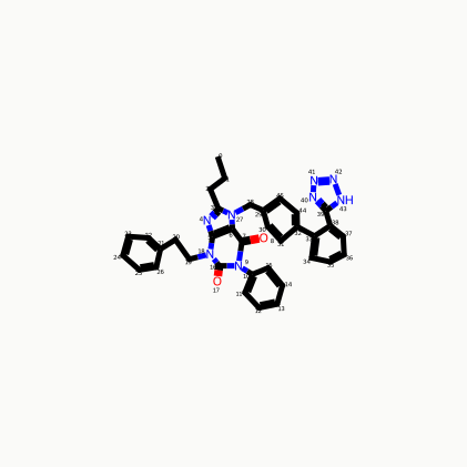 CCCc1nc2c(c(=O)n(-c3ccccc3)c(=O)n2CCc2ccccc2)n1Cc1ccc(-c2ccccc2-c2nnn[nH]2)cc1